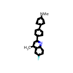 CNc1ccc(-c2ccc(-c3cc(C)c4cc(F)ccc4n3)cc2)cc1